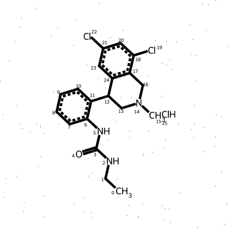 CCNC(=O)Nc1ccccc1C1CN(C)Cc2c(Cl)cc(Cl)cc21.Cl